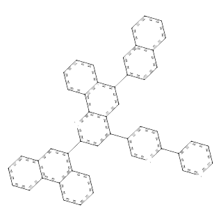 c1cncc(-c2ccc(-c3cc(-c4cc5ccccc5c5ccccc45)nc4c3cc(-c3ccc5ccccc5c3)c3ccccc34)cn2)c1